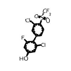 O=S(=O)(c1ccc(-c2c(F)cc(O)cc2Cl)cc1Cl)C(F)(F)F